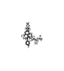 CC1(C)CS(=O)(=Nc2cc(Cl)c3c(Nc4ccc(F)cc4OCC(=O)NCC(F)(F)F)ncnc3c2)C1